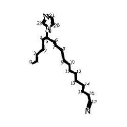 CCCCCC(CCCCCCCCCCCC#N)n1ccnc1